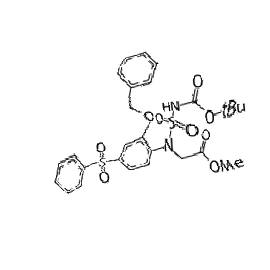 COC(=O)CN(c1ccc(S(=O)(=O)c2ccccc2)cc1OCc1ccccc1)S(=O)(=O)NC(=O)OC(C)(C)C